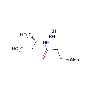 CCCCCCCCCCCC(=O)N[C@@H](CC(=O)O)C(=O)O.[KH].[KH]